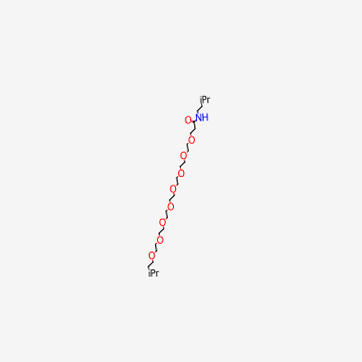 CC(C)CCNC(=O)CCOCCOCCOCCOCCOCCOCCOCCOCCC(C)C